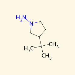 CC(C)(C)C1CCN(N)C1